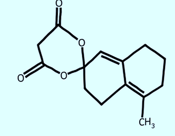 CC1=C2CCC3(C=C2CCC1)OC(=O)CC(=O)O3